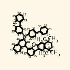 CC1(C)CCC(C)(C)c2cc3c(cc21)oc1c(-c2cc(N(c4ccc(-c5ccccc5)cc4)c4ccc5sc6ccccc6c5c4)cc4ccccc24)cccc13